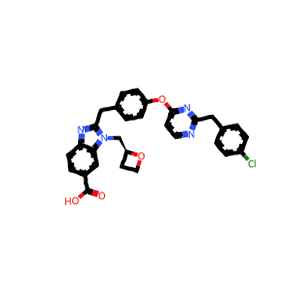 O=C(O)c1ccc2nc(Cc3ccc(Oc4ccnc(Cc5ccc(Cl)cc5)n4)cc3)n(C[C@@H]3CCO3)c2c1